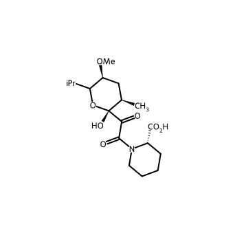 CO[C@H]1C[C@@H](C)[C@](O)(C(=O)C(=O)N2CCCC[C@H]2C(=O)O)OC1C(C)C